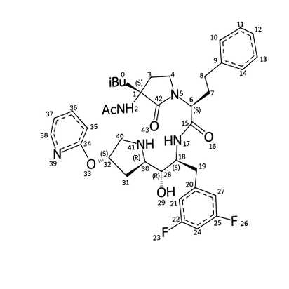 CCC(C)[C@@]1(NC(C)=O)CCN([C@@H](CCc2ccccc2)C(=O)N[C@@H](Cc2cc(F)cc(F)c2)[C@H](O)[C@H]2C[C@H](Oc3ccccn3)CN2)C1=O